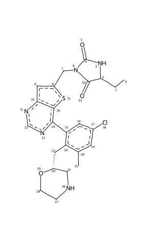 CCC1NC(=O)N(Cc2cc3ncnc(-c4cc(Cl)cc(C)c4C[C@@H]4CNCCO4)c3s2)C1=O